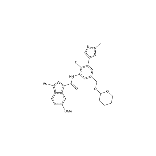 COc1ccn2c(C(C)=O)cc(C(=O)Nc3cc(COC4CCCCO4)cc(-c4cnn(C)c4)c3F)c2c1